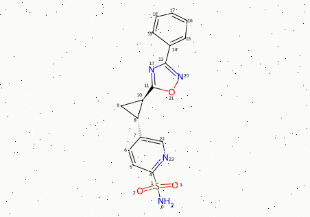 NS(=O)(=O)c1ccc([C@@H]2C[C@H]2c2nc(-c3ccccc3)no2)cn1